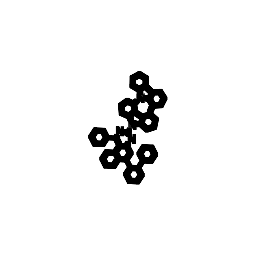 c1ccc(-c2ccccc2-c2cc3nc(-n4c5cccc6c7cccc8c9ccccc9n(c9cccc4c9c65)c78)nc(-c4ccccc4)c3c3ccccc23)cc1